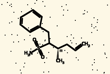 C=CC[C@H](C)C(Cc1ccccc1)S(N)(=O)=O